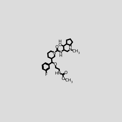 CNCC(NC(=O)N1CCCC(C(OCCNC(=O)OC)c2cccc(F)c2)C1)C(O)C1CCCC1